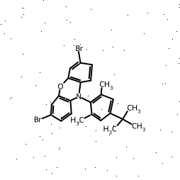 Cc1cc(C(C)(C)C)cc(C)c1N1c2ccc(Br)cc2Oc2cc(Br)ccc21